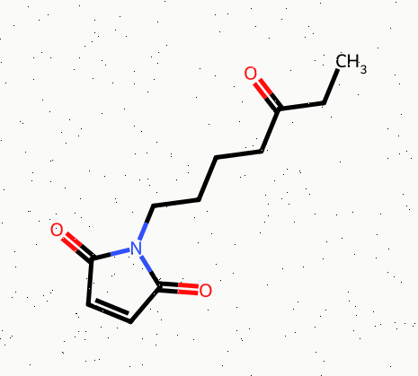 CCC(=O)CCCCN1C(=O)C=CC1=O